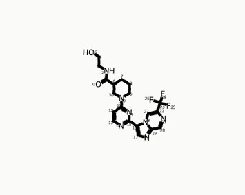 O=C(NCCO)C1CCCN(c2ccnc(-c3cnc4cnc(C(F)(F)F)cn34)n2)C1